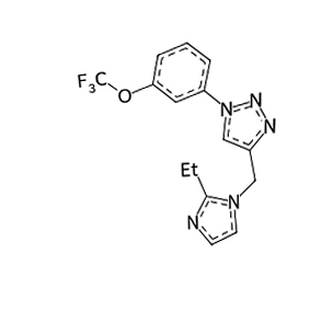 CCc1nccn1Cc1cn(-c2cccc(OC(F)(F)F)c2)nn1